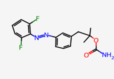 CC(C)(Cc1cccc(/N=N/c2c(F)cccc2F)c1)OC(N)=O